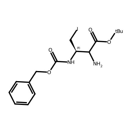 CC(C)(C)OC(=O)C(N)[C@H](CI)NC(=O)OCc1ccccc1